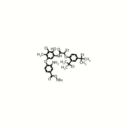 CCCCOC(=O)c1ccc(Oc2cc(NC(=O)C(CC)Oc3ccc(C(C)(C)CC)cc3C(C)(C)CC)c(O)c(Cl)c2C)c(N)c1